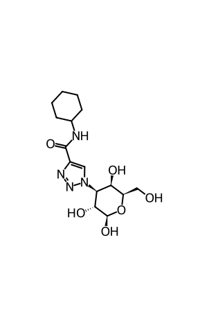 O=C(NC1CCCCC1)c1cn([C@@H]2[C@@H](O)[C@H](O)O[C@H](CO)[C@@H]2O)nn1